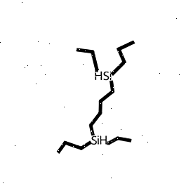 CCC[SiH](CCC)CCCC[SiH](CCC)CCC